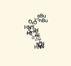 CCCCC(CCCC)COC(=O)[C@@H]1C[C@H]2C[C@@](F)(CCc3nn[nH]n3)CC[C@H]2CN1